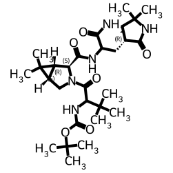 CC1(C)C[C@@H](CC(NC(=O)[C@@H]2[C@@H]3[C@H](CN2C(=O)C(NC(=O)OC(C)(C)C)C(C)(C)C)C3(C)C)C(N)=O)C(=O)N1